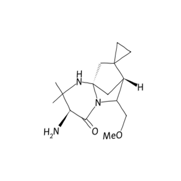 COCC1[C@@H]2C[C@]3(CC24CC4)NC(C)(C)[C@H](N)C(=O)N13